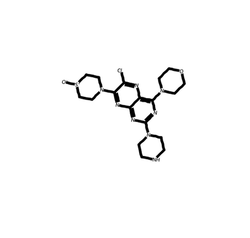 [O-][S+]1CCN(c2nc3nc(N4CCNCC4)nc(N4CCOCC4)c3nc2Cl)CC1